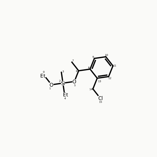 CCO[Si](C)(CC)OC(C)c1ccccc1CCl